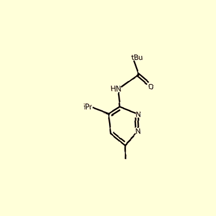 Cc1cc(C(C)C)c(NC(=O)C(C)(C)C)nn1